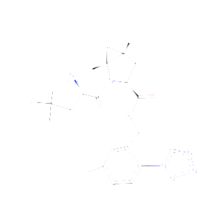 CC(C)(C)C[C@@H](N)C(=O)N1[C@@H]2C[C@@H]2C[C@H]1C(=O)NCc1cc(Cl)ccc1-n1cnnn1